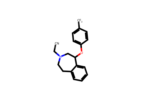 N#CCN1CCc2ccccc2C(Oc2ccc(C(F)(F)F)cc2)C1